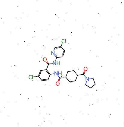 O=C(Nc1ccc(Cl)cn1)c1cc(Cl)ccc1NC(=O)[C@H]1CC[C@H](C(=O)N2CCCC2)CC1